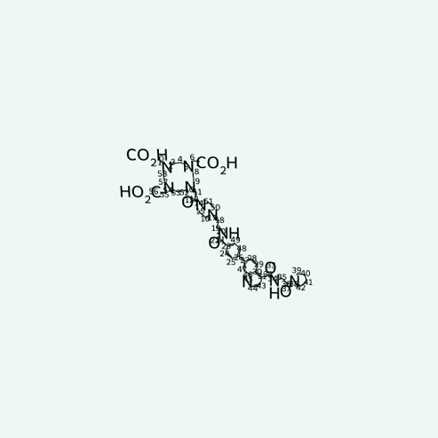 O=C(O)CN1CCN(CC(=O)O)CCN(CC(=O)N2CCN(CCNC(=O)c3ccc(-c4ccc5c(C(=O)NCC(=O)N6CCCC6)ccnc5c4)cc3)CC2)CCN(CC(=O)O)CC1